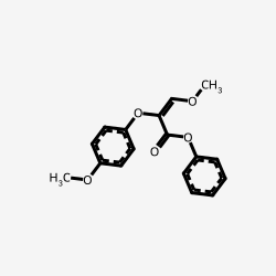 COC=C(Oc1ccc(OC)cc1)C(=O)Oc1ccccc1